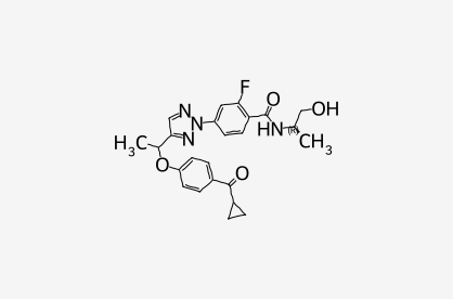 CC(Oc1ccc(C(=O)C2CC2)cc1)c1cnn(-c2ccc(C(=O)N[C@H](C)CO)c(F)c2)n1